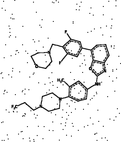 Cc1cc(Nc2nc3cccc(-c4cc(F)c(CN5CCOCC5)c(F)c4)c3o2)ccc1N1CCN(CCC(F)(F)F)CC1